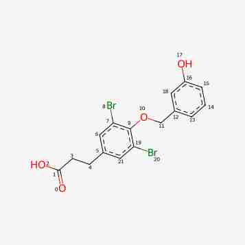 O=C(O)CCc1cc(Br)c(OCc2cccc(O)c2)c(Br)c1